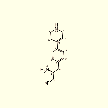 N[C@H](CF)Cc1ccc(C2=CCNCC2)cc1